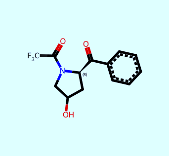 O=C(c1ccccc1)[C@H]1CC(O)CN1C(=O)C(F)(F)F